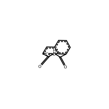 O=C1NC(=O)c2cccc3cc1ccc23